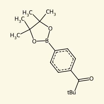 CC(C)(C)C(=O)c1ccc(B2OC(C)(C)C(C)(C)O2)cc1